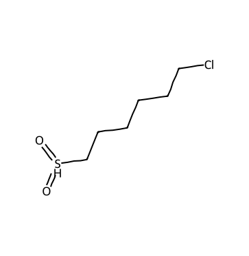 O=[SH](=O)CCCCCCCl